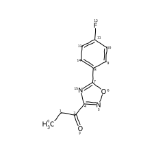 CCC(=O)c1noc(-c2ccc(F)cc2)n1